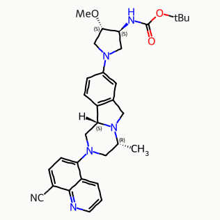 CO[C@H]1CN(c2ccc3c(c2)CN2[C@H](C)CN(c4ccc(C#N)c5ncccc45)C[C@H]32)C[C@@H]1NC(=O)OC(C)(C)C